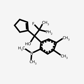 Cc1cc(N(C)C)c(C(O)(C2=CCCC2)C(C)(F)P)cc1C